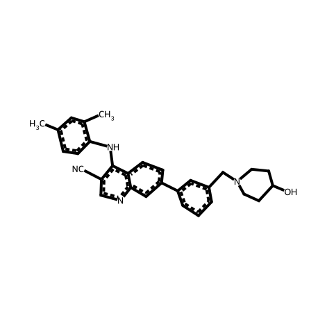 Cc1ccc(Nc2c(C#N)cnc3cc(-c4cccc(CN5CCC(O)CC5)c4)ccc23)c(C)c1